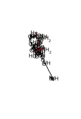 CCCC[C@H](NC(=O)[C@H](CNC(=O)CN(CC(=O)O)CC(=O)O)NC(=O)[C@H](CC1=CCC=N1)NC(=O)[C@H](CCC(N)=O)NC(=O)[C@H](CO)NC(=O)CNC(=O)COCCOCCNC(=O)CCCCCCCCCCCCCCCc1nnn[nH]1)C(=O)N[C@H]1CCC(=O)CCCCC[C@@H](C(C)=O)NC(=O)[C@H](Cc2c[nH]c3ccccc23)NC(=O)[C@H](CCCNC(=N)N)NC(=O)[C@@H](Cc2ccccc2)NC(=O)[C@@H]2C[C@@H](O)CN2C1=O